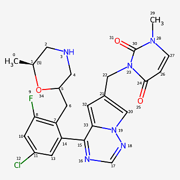 C[C@H]1CNCC(Cc2c(F)cc(Cl)cc2-c2ncnn3cc(Cn4c(=O)ccn(C)c4=O)cc23)O1